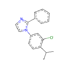 CC(C)c1ccc(-n2ccnc2-c2ccccc2)cc1Cl